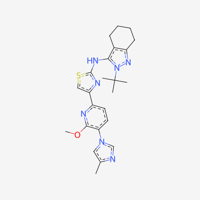 COc1nc(-c2csc(Nc3c4c(nn3C(C)(C)C)CCCC4)n2)ccc1-n1cnc(C)c1